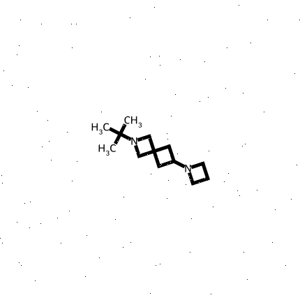 CC(C)(C)N1CC2(CC(N3CCC3)C2)C1